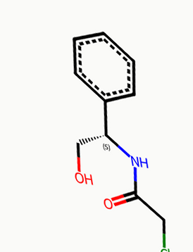 O=C(CCl)N[C@H](CO)c1ccccc1